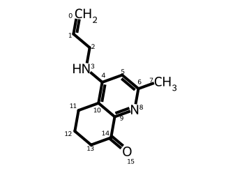 C=CCNc1cc(C)nc2c1CCCC2=O